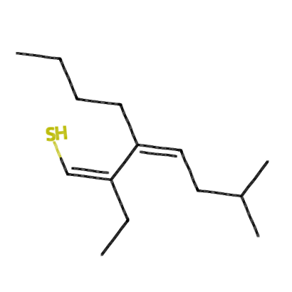 CCCCC(=C/CC(C)C)/C(=C\S)CC